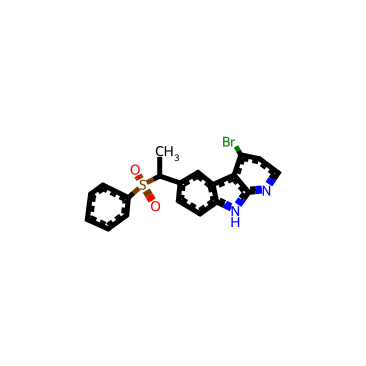 CC(c1ccc2[nH]c3nccc(Br)c3c2c1)S(=O)(=O)c1ccccc1